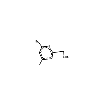 Cc1cc(Br)nc(CC=O)c1